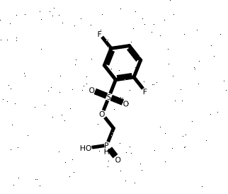 O=[PH](O)COS(=O)(=O)c1cc(F)ccc1F